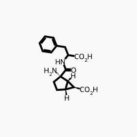 N[C@@]1(C(=O)NC(Cc2ccccc2)C(=O)O)CC[C@H]2[C@H](C(=O)O)[C@H]21